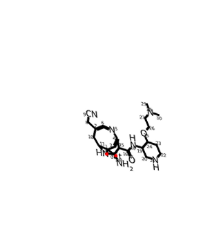 CCC1(C)C=C2N=C=C(CC#N)CC1NC(N)C2C(=O)NC1CNCCC1OCCN(C)C